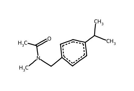 CC(=O)N(C)Cc1ccc(C(C)C)cc1